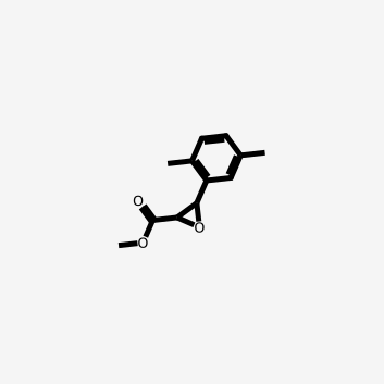 COC(=O)C1OC1c1cc(C)ccc1C